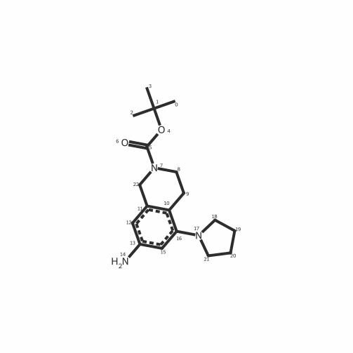 CC(C)(C)OC(=O)N1CCc2c(cc(N)cc2N2CCCC2)C1